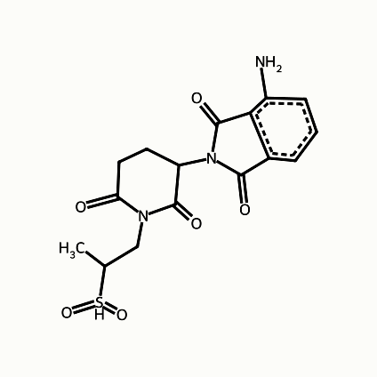 CC(CN1C(=O)CCC(N2C(=O)c3cccc(N)c3C2=O)C1=O)[SH](=O)=O